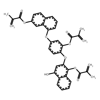 C=C(C)C(=O)Oc1ccc2cccc(Oc3ccc(Oc4cc(O)c5ccccc5c4OC(=O)C(=C)C)c(OC(=O)C(=C)C)c3)c2c1